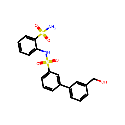 NS(=O)(=O)c1ccccc1NS(=O)(=O)c1cccc(-c2cccc(CO)c2)c1